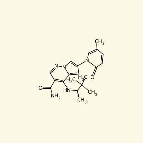 Cc1ccc(=O)n(-c2cc3c(N[C@H](C)C(C)(C)C)c(C(N)=O)cnn3c2)c1